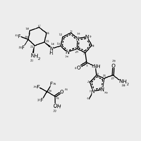 Cn1cc(NC(=O)c2cnn3ccc(N[C@@H]4CCCC(F)(F)[C@@H]4N)nc23)c(C(N)=O)n1.O=C(O)C(F)(F)F